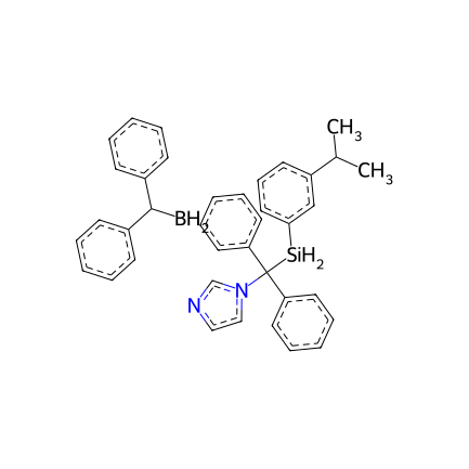 BC(c1ccccc1)c1ccccc1.CC(C)c1cccc([SiH2]C(c2ccccc2)(c2ccccc2)n2ccnc2)c1